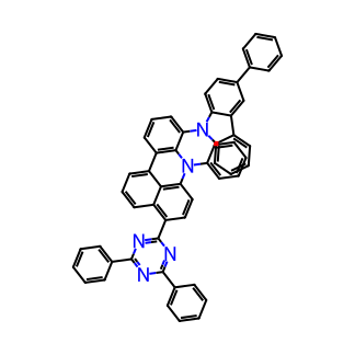 c1ccc(-c2ccc3c(c2)c2ccccc2n3-c2cccc3c2N(c2ccccc2)c2ccc(-c4nc(-c5ccccc5)nc(-c5ccccc5)n4)c4cccc-3c24)cc1